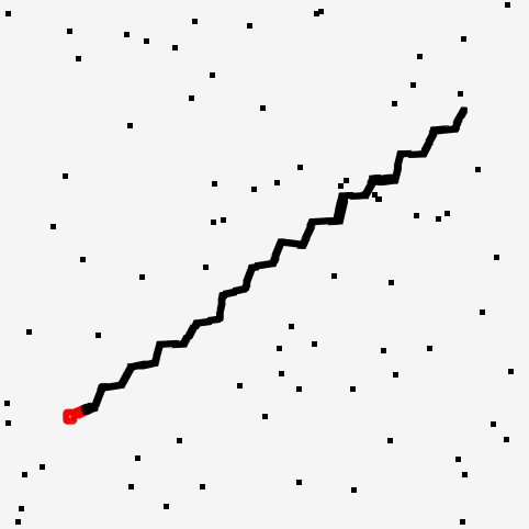 CCCCCC=CCC=CCCCCCCCCCCCCCCCC=O